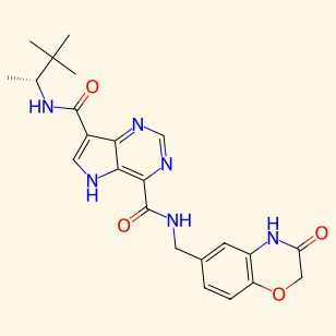 C[C@@H](NC(=O)c1c[nH]c2c(C(=O)NCc3ccc4c(c3)NC(=O)CO4)ncnc12)C(C)(C)C